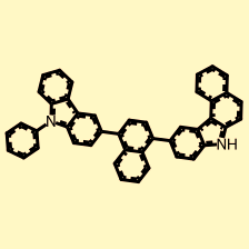 c1ccc(-n2c3ccccc3c3cc(-c4ccc(-c5ccc6[nH]c7ccc8ccccc8c7c6c5)c5ccccc45)ccc32)cc1